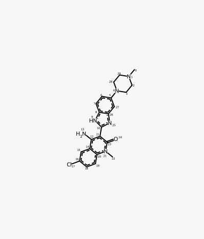 CN1CCN(c2ccc3[nH]c(-c4c(N)c5cc(Cl)ccc5n(C)c4=O)nc3c2)CC1